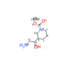 CC(C)(C)OC(=O)N1CCCC(C(O)CN)C1